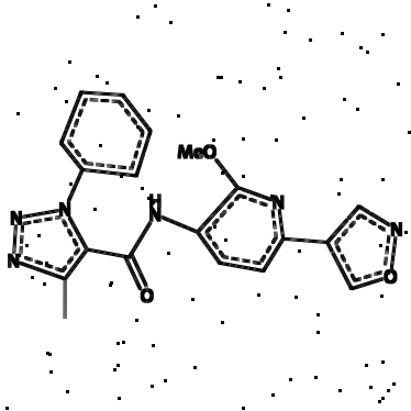 COc1nc(-c2cnoc2)ccc1NC(=O)c1c(C)nnn1-c1ccccc1